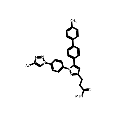 CNC(=O)CCc1cc(-c2ccc(-c3ccc(C)cc3)cc2)n(-c2ccc(-n3cc(C(C)=O)nn3)cc2)n1